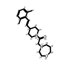 Cc1cccc(C)c1/C=C/C1CCN(C(=O)CN2CCCOCC2)CC1